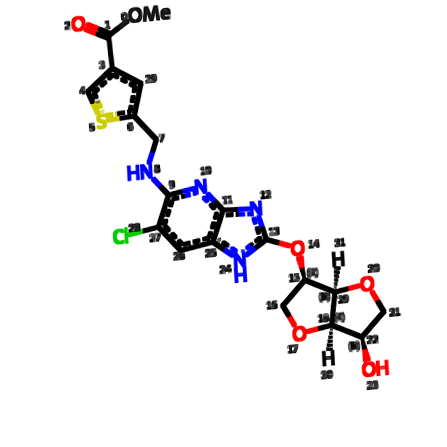 COC(=O)c1csc(CNc2nc3nc(O[C@@H]4CO[C@H]5[C@@H]4OC[C@H]5O)[nH]c3cc2Cl)c1